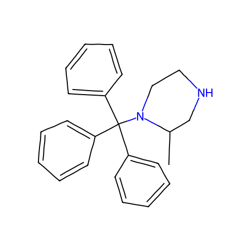 CC1CNCCN1C(c1ccccc1)(c1ccccc1)c1ccccc1